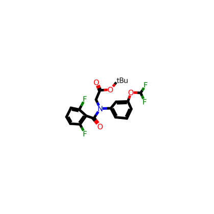 CC(C)(C)OC(=O)CN(C(=O)c1c(F)cccc1F)c1cccc(OC(F)F)c1